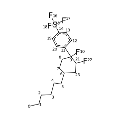 CCCCCCC1CCC(F)(c2ccc(S(F)(F)F)cc2)C(F)C1